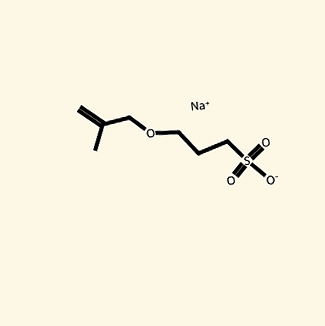 C=C(C)COCCCS(=O)(=O)[O-].[Na+]